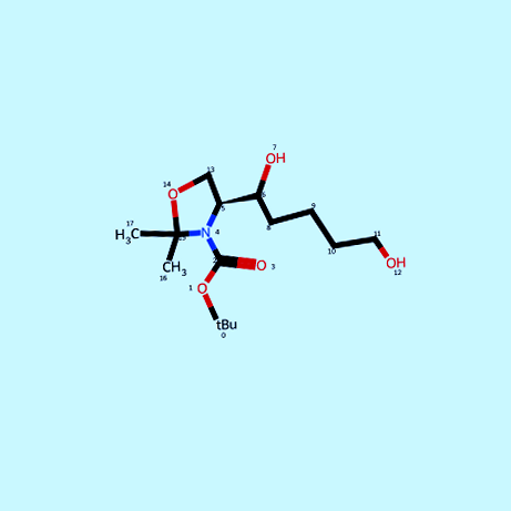 CC(C)(C)OC(=O)N1[C@H](C(O)CCCCO)COC1(C)C